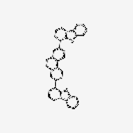 c1ccc2c(c1)sc1c(-c3ccc4c(ccc5cc(-c6cccc7c6sc6ccccc67)ccc54)c3)cccc12